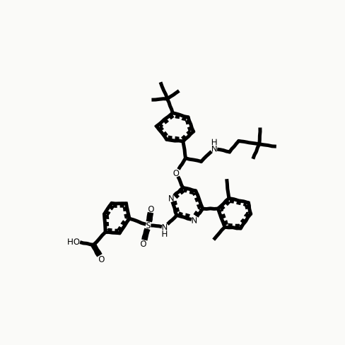 Cc1cccc(C)c1-c1cc(OC(CNCCC(C)(C)C)c2ccc(C(C)(C)C)cc2)nc(NS(=O)(=O)c2cccc(C(=O)O)c2)n1